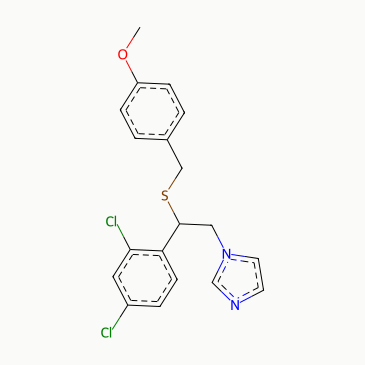 COc1ccc(CSC(Cn2ccnc2)c2ccc(Cl)cc2Cl)cc1